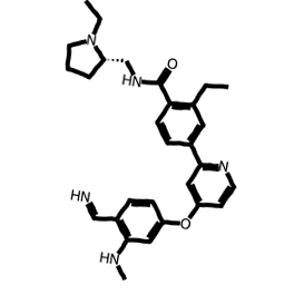 CCc1cc(-c2cc(Oc3ccc(C=N)c(NC)c3)ccn2)ccc1C(=O)NC[C@@H]1CCCN1CC